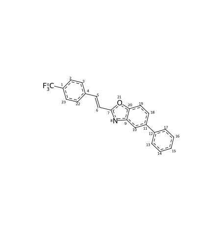 FC(F)(F)c1ccc(C=Cc2nc3cc(-c4ccccc4)ccc3o2)cc1